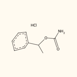 CC(OC(N)=O)c1ccccc1.Cl